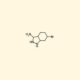 NC1NNC2CC(Br)CCC12